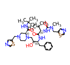 CC(C)[C@H](NC(=O)N(C)Cc1cncs1)C(=O)N[C@@H](Cc1ccccc1)[C@H](O)CN1CCN(Cc2cncs2)C[C@H]1C(=O)NC(C)(C)C